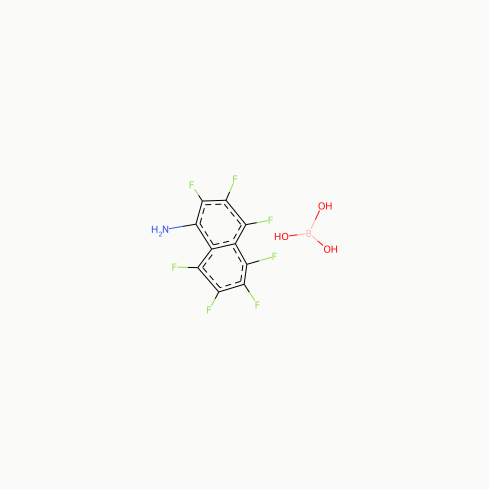 Nc1c(F)c(F)c(F)c2c(F)c(F)c(F)c(F)c12.OB(O)O